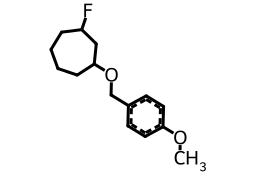 COc1ccc(COC2CCCCC(F)C2)cc1